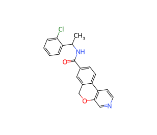 CC(NC(=O)c1ccc2c(c1)COc1cnccc1-2)c1ccccc1Cl